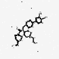 C=Cc1ccc(C(=O)N(Cc2ccc(-c3ccc(F)c(C#N)c3)cc2)C2CCN(CCC(C)C)CC2)nc1